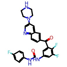 O=C(Nc1ccc(F)cc1)Nc1cc(F)c(F)c(C(=O)c2ccc3ncc(N4CCNCC4)cc3c2)c1